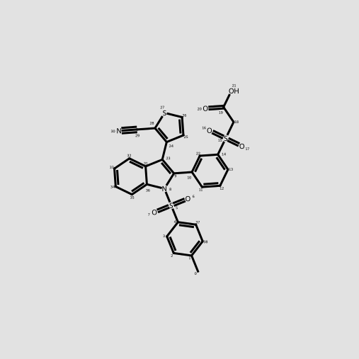 Cc1ccc(S(=O)(=O)n2c(-c3cccc(S(=O)(=O)CC(=O)O)c3)c(-c3ccsc3C#N)c3ccccc32)cc1